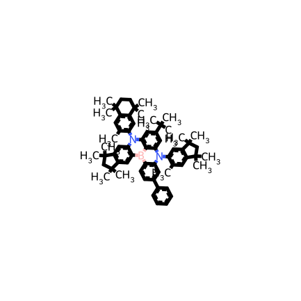 Cc1cc2c(cc1N1c3cc4c(cc3B3c5ccc(-c6ccccc6)cc5N(c5cc6c(cc5C)C(C)(C)CC6(C)C)c5cc(C(C)(C)C)cc1c53)C(C)(C)CC4(C)C)C(C)(C)CCC2(C)C